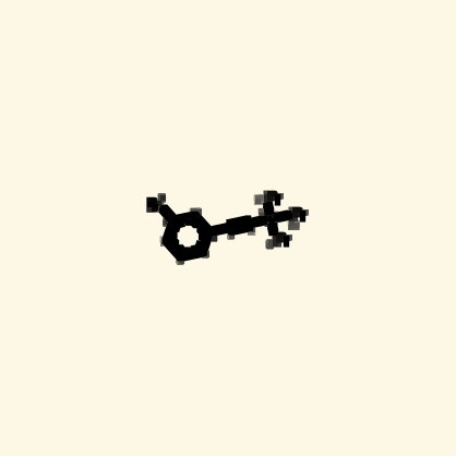 CC(C)[Si](C#Cc1c[c]cc(Br)c1)(C(C)C)C(C)C